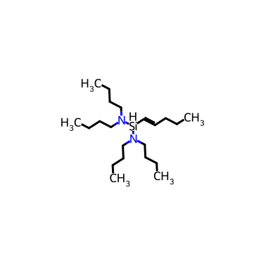 CCCC=C[SiH](N(CCCC)CCCC)N(CCCC)CCCC